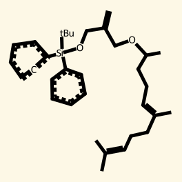 C=C(COC(C)CC/C=C(\C)CCC=C(C)C)CO[Si](c1ccccc1)(c1ccccc1)C(C)(C)C